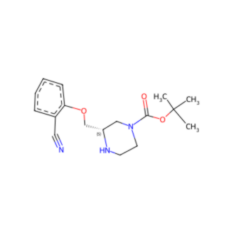 CC(C)(C)OC(=O)N1CCN[C@H](COc2ccccc2C#N)C1